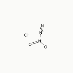 N#[N+][N+](=O)[O-].[Cl-]